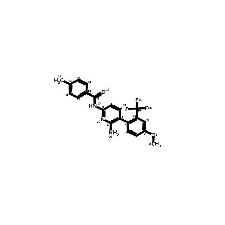 COc1ccc(-c2ccc(NC(=O)c3ccc(C)cc3)nc2N)c(C(F)(F)F)c1